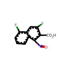 O=Ic1c(C(=O)O)c(F)cc2c(F)cccc12